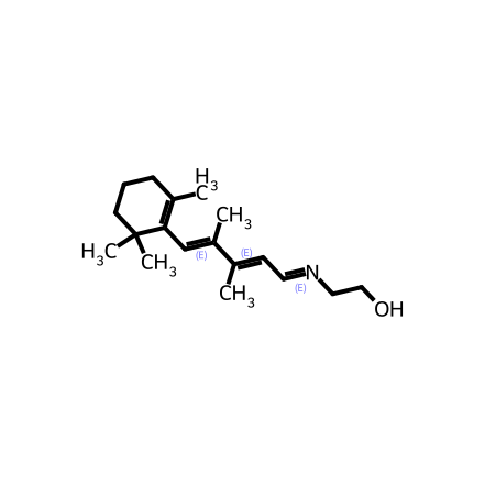 CC1=C(/C=C(C)/C(C)=C/C=N/CCO)C(C)(C)CCC1